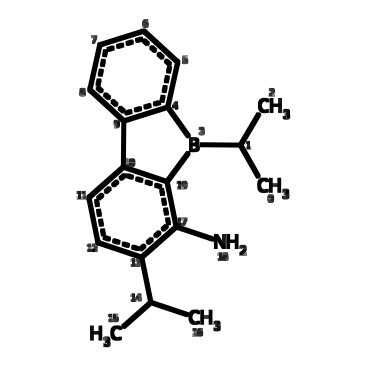 CC(C)B1c2ccccc2-c2ccc(C(C)C)c(N)c21